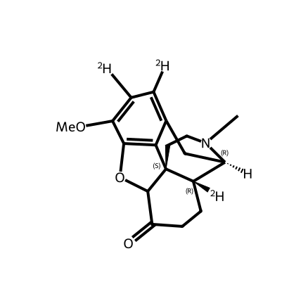 [2H]c1c([2H])c(OC)c2c3c1C[C@H]1N(C)CC[C@@]34C(O2)C(=O)CC[C@@]14[2H]